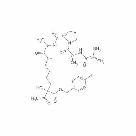 CC(=O)C(O)(CCCCNC(=O)N(C)NC(=O)[C@@H]1CCCN1C(=O)[C@H](C)NC(=O)[C@H](C)N)C(=O)OCc1ccc(I)cc1